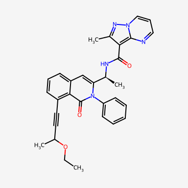 CCOC(C)C#Cc1cccc2cc([C@H](C)NC(=O)c3c(C)nn4cccnc34)n(-c3ccccc3)c(=O)c12